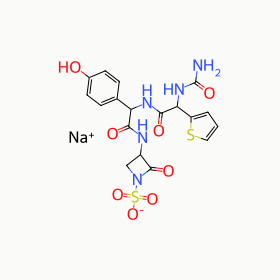 NC(=O)NC(C(=O)NC(C(=O)NC1CN(S(=O)(=O)[O-])C1=O)c1ccc(O)cc1)c1cccs1.[Na+]